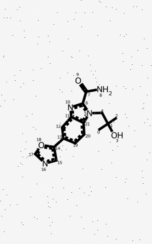 CC(C)(O)Cn1c(C(N)=O)nc2cc(-c3cnco3)ccc21